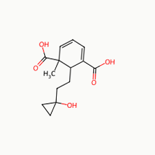 CC1(C(=O)O)C=CC=C(C(=O)O)C1CCC1(O)CC1